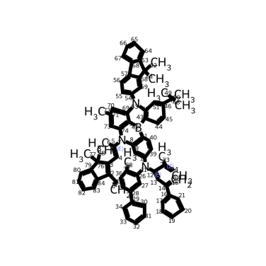 C=CC1=C(/C=C(\C)N2c3cc(N(C(=C/C(=C)c4ccccc4)/C(C)=C\C)c4cc(-c5ccccc5)ccc4C)ccc3B3c4ccc(C(C)(C)C)cc4N(c4ccc5c(c4)C(C)(C)c4ccccc4-5)c4cc(C)cc2c43)C(C)(C)c2ccccc21